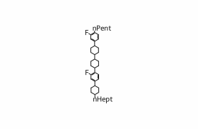 CCCCCCCC1CCC(c2ccc(C3CCC(C4CCC(c5ccc(CCCCC)c(F)c5)CC4)CC3)c(F)c2)CC1